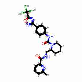 Cc1cccc(C(=O)NCC2CCCCN2C(=O)Nc2ccc(-c3noc(C(F)(F)F)n3)cc2)n1